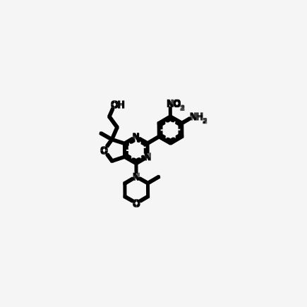 CC1COCCN1c1nc(-c2ccc(N)c([N+](=O)[O-])c2)nc2c1COC2(C)CCO